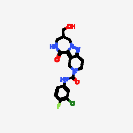 O=C1NCC(CO)Cn2nc3c(c21)CN(C(=O)Nc1ccc(F)c(Cl)c1)CC3